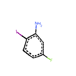 Nc1cc(F)ccc1I